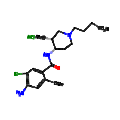 COc1cc(N)c(Cl)cc1C(=O)N[C@H]1CCN(CCCC(=O)O)C[C@H]1OC.Cl